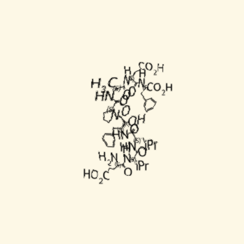 CC(C)C[C@H](NC(=O)[C@@H](NC(=O)[C@@H](N)CCC(=O)O)C(C)C)C(=O)N[C@@H](Cc1ccccc1)[C@@H](O)C(=O)N1CCC[C@H]1C(=O)N[C@@H](C)C(=O)N[C@@H](CCC(=O)O)C(=O)N[C@@H](Cc1ccccc1)C(=O)O